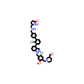 COc1cc(Cn2ncc3c(-c4cccc(-c5ccc(CNCC6CCC(=O)N6)cc5)c4Cl)cccc32)c(Cl)cc1CN1CCCC(C=O)C1